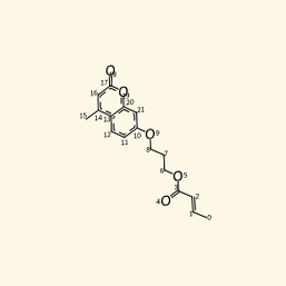 CC=CC(=O)OCCCOc1ccc2c(C)cc(=O)oc2c1